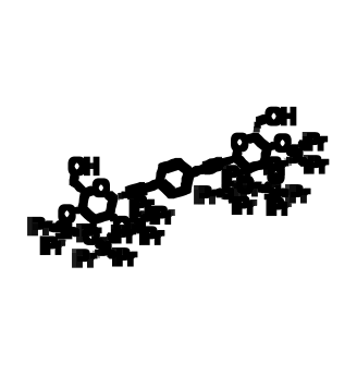 CC(C)[Si](O[C@@H]1[C@H](O[Si](C(C)C)(C(C)C)C(C)C)[C@@H](C#Cc2ccc(C#C[C@H]3O[C@H](CO)[C@@H](O[Si](C(C)C)(C(C)C)C(C)C)[C@@H](O[Si](C(C)C)(C(C)C)C(C)C)[C@@H]3O[Si](C(C)C)(C(C)C)C(C)C)cc2)O[C@H](CO)[C@H]1O[Si](C(C)C)(C(C)C)C(C)C)(C(C)C)C(C)C